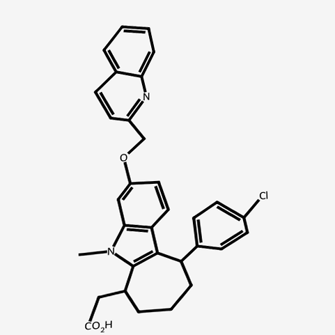 Cn1c2c(c3ccc(OCc4ccc5ccccc5n4)cc31)C(c1ccc(Cl)cc1)CCCC2CC(=O)O